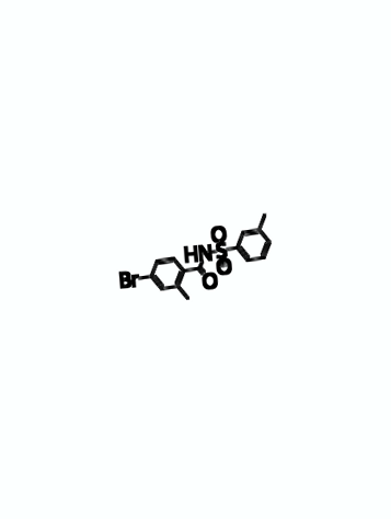 Cc1cccc(S(=O)(=O)NC(=O)c2ccc(Br)cc2C)c1